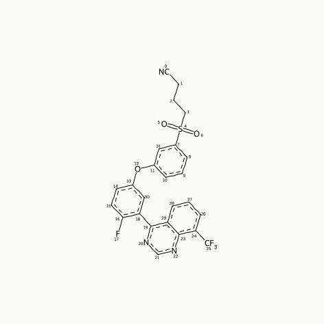 N#CCCCS(=O)(=O)c1cccc(Oc2ccc(F)c(-c3ncnc4c(C(F)(F)F)cccc34)c2)c1